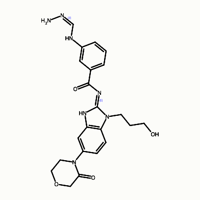 N/N=C\Nc1cccc(C(=O)/N=c2\[nH]c3cc(N4CCOCC4=O)ccc3n2CCCO)c1